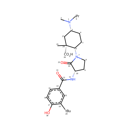 CC(C)N(C)[C@@H]1CC[C@H](N2CC[C@H](NC(=O)c3ccc(O)c(C(C)(C)C)c3)C2=O)[C@](C)(C(=O)O)C1